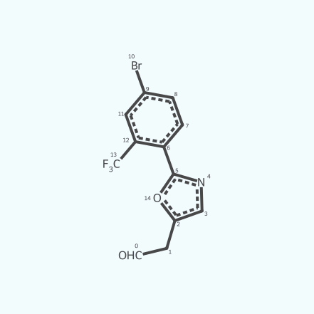 O=CCc1cnc(-c2ccc(Br)cc2C(F)(F)F)o1